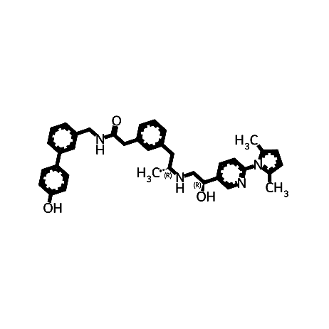 Cc1ccc(C)n1-c1ccc([C@@H](O)CN[C@H](C)Cc2cccc(CC(=O)NCc3cccc(-c4ccc(O)cc4)c3)c2)cn1